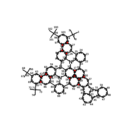 CC(C)(C)c1cc(-c2ccc3c(c2)N(c2c(-c4ccccc4)cccc2-c2ccccc2)c2cc(-c4ccc5c(c4)c4cccc6c7ccccc7n5c64)cc4c2B3c2ccc(-c3cc(C(C)(C)C)cc(C(C)(C)C)c3)cc2N4c2c(-c3ccccc3)cccc2-c2ccccc2)cc(C(C)(C)C)c1